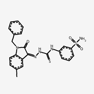 Cc1ccc2c(c1)C(=NNC(=S)Nc1cccc(S(N)(=O)=O)c1)C(=O)N2Cc1ccccc1